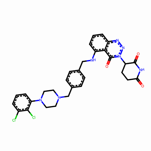 O=C1CCC(n2nnc3cccc(NCc4ccc(CN5CCN(c6cccc(Cl)c6Cl)CC5)cc4)c3c2=O)C(=O)N1